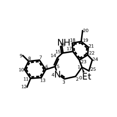 CC[C@@]12C/C=N\C(c3cc(C)cc(C)c3)=C/C(=N)c3cc(C)cc(c31)CC2